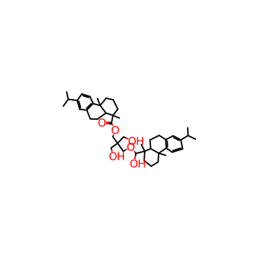 CC(C)c1ccc2c(c1)CCC1C(C)(C(=O)OCC(CO)(CO)COC(O)C3(C)CCCC4(C)c5ccc(C(C)C)cc5CCC43)CCCC21C